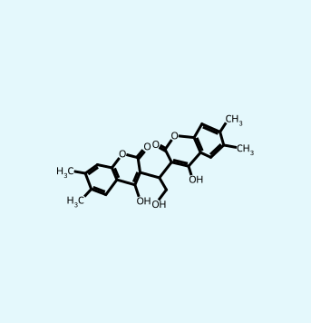 Cc1cc2oc(=O)c(C(CO)c3c(O)c4cc(C)c(C)cc4oc3=O)c(O)c2cc1C